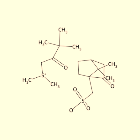 CC1(C)C2CCC1(CS(=O)(=O)[O-])C(=O)C2.C[S+](C)CC(=O)C(C)(C)C